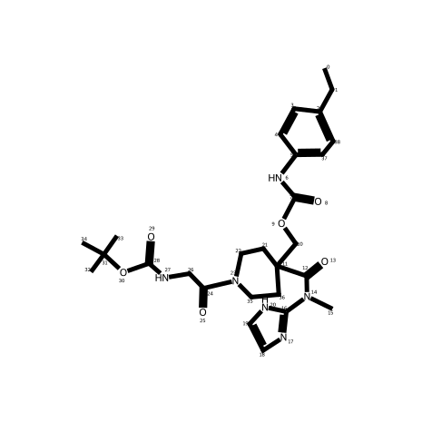 CCc1ccc(NC(=O)OCC2(C(=O)N(C)c3ncc[nH]3)CCN(C(=O)CNC(=O)OC(C)(C)C)CC2)cc1